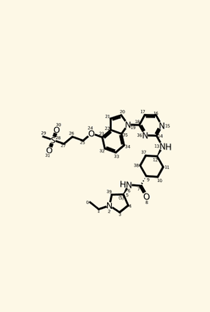 CCN1CC[C@H](NC(=O)[C@H]2CC[C@H](Nc3nccc(-n4ccc5c(OCCCS(C)(=O)=O)cccc54)n3)CC2)C1